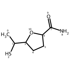 CC(S)C1CCC(C(N)=O)O1